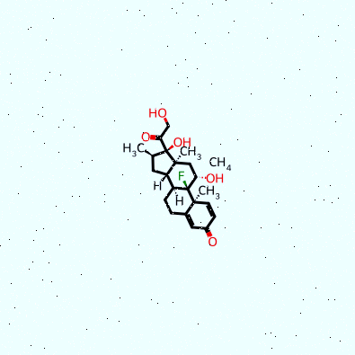 C.C[C@@H]1C[C@H]2[C@@H]3CCC4=CC(=O)C=C[C@]4(C)[C@@]3(F)[C@@H](O)C[C@]2(C)[C@@]1(O)C(=O)CO